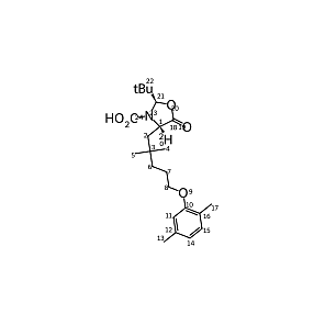 [2H][C@]1(CC(C)(C)CCCOc2cc(C)ccc2C)C(=O)O[C@H](C(C)(C)C)N1C(=O)O